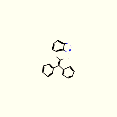 CCOC(=O)C(C#N)=C(c1ccccc1)c1ccccc1.c1ccc2[nH]nnc2c1